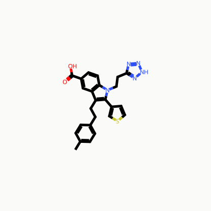 Cc1ccc(CCc2c(-c3ccsc3)n(CCc3nn[nH]n3)c3ccc(C(=O)O)cc23)cc1